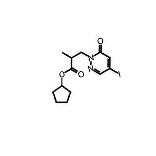 CC(Cn1ncc(I)cc1=O)C(=O)OC1CCCC1